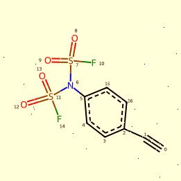 C#Cc1ccc(N(S(=O)(=O)F)S(=O)(=O)F)cc1